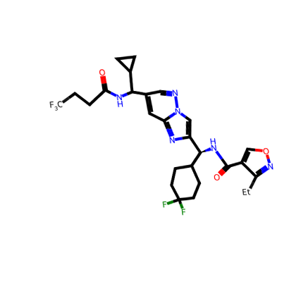 CCc1nocc1C(=O)N[C@H](c1cn2ncc(C(NC(=O)CCC(F)(F)F)C3CC3)cc2n1)C1CCC(F)(F)CC1